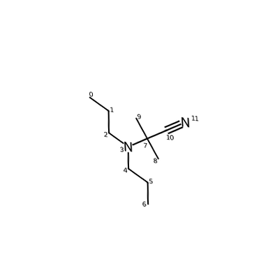 CCCN(CCC)C(C)(C)C#N